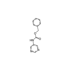 O=C(Nc1cncnc1)OCc1ccccc1